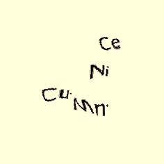 [Ce].[Cu].[Mn].[Ni]